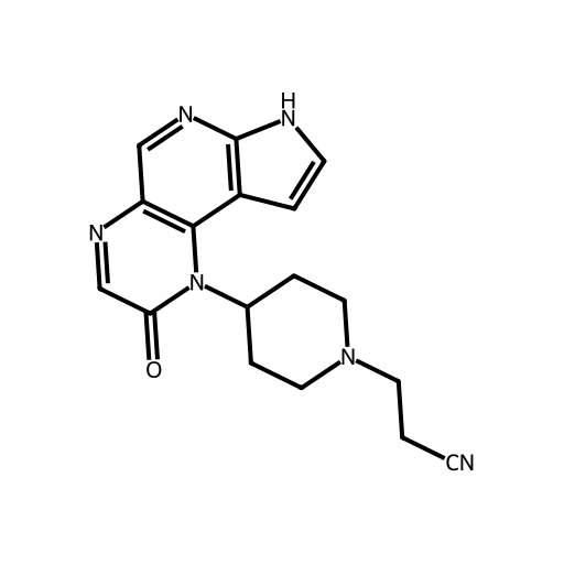 N#CCCN1CCC(n2c(=O)cnc3cnc4[nH]ccc4c32)CC1